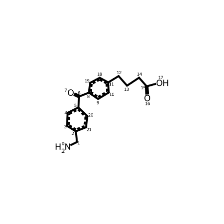 NCc1ccc(C(=O)c2ccc(CCCC(=O)O)cc2)cc1